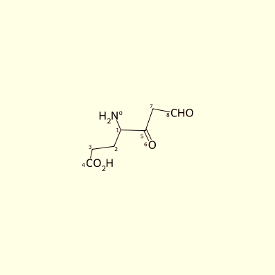 NC(CCC(=O)O)C(=O)CC=O